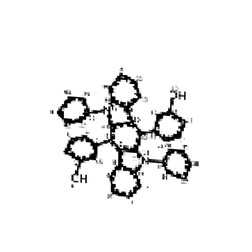 Oc1cccc(-c2c3c4ccccc4n(-c4ccccc4)c3c(-c3cccc(O)c3)c3c4ccccc4n(-c4ccccc4)c23)c1